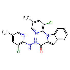 O=C(NNc1ncc(C(F)(F)F)cc1Cl)c1cc2ccccc2n1-c1ncc(C(F)(F)F)cc1Cl